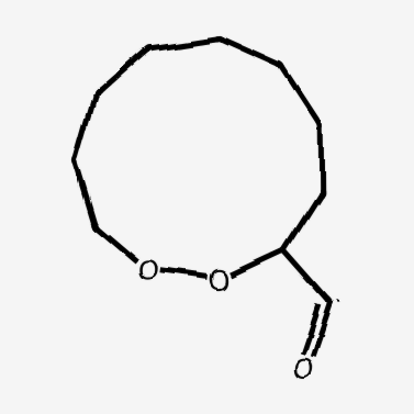 O=[C]C1CCCCCCCCOO1